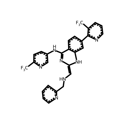 FC(F)(F)c1ccc(NC2=NC(=CNCc3ccccn3)Nc3cc(-c4ncccc4C(F)(F)F)ccc32)cn1